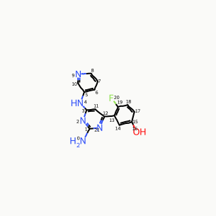 Nc1nc(Nc2cccnc2)cc(-c2cc(O)ccc2F)n1